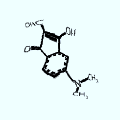 CN(C)c1ccc2c(c1)C(O)=C(C=O)C2=O